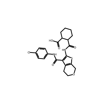 O=C(Nc1ccc(Cl)cc1)c1c(NC(=O)C2CCCCC2C(=O)O)sc2c1CCOC2